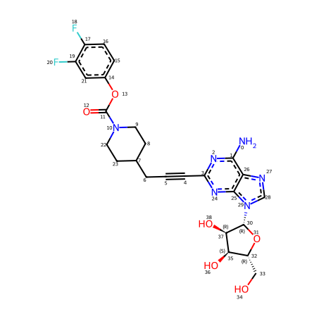 Nc1nc(C#CCC2CCN(C(=O)Oc3ccc(F)c(F)c3)CC2)nc2c1ncn2[C@@H]1O[C@H](CO)[C@@H](O)[C@H]1O